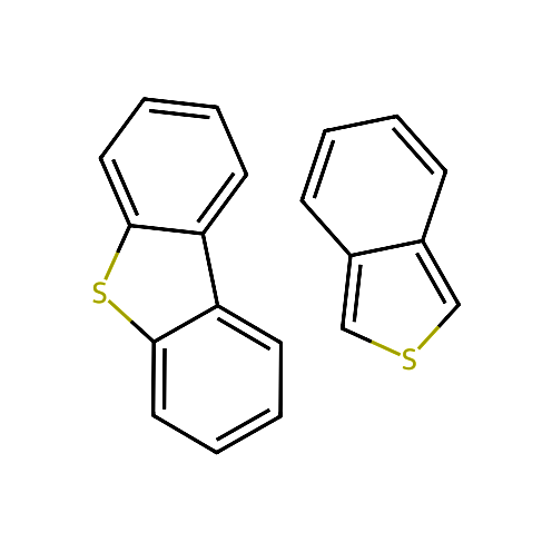 c1ccc2c(c1)sc1ccccc12.c1ccc2cscc2c1